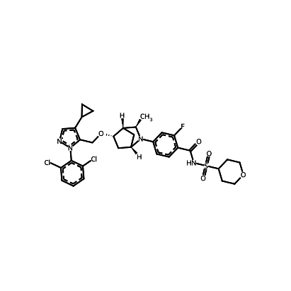 C[C@@H]1[C@@H]2C[C@@H](C[C@@H]2OCc2c(C3CC3)cnn2-c2c(Cl)cccc2Cl)N1c1ccc(C(=O)NS(=O)(=O)C2CCOCC2)c(F)c1